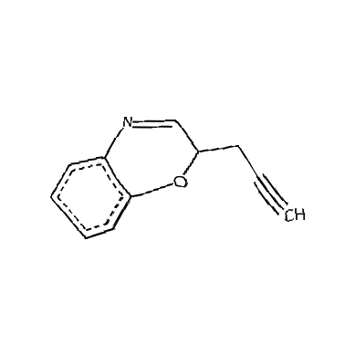 C#CCC1C=Nc2ccccc2O1